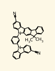 CC1(C)c2ccccc2-c2cc3c4cc(C#N)ccc4n(-c4cccc(-n5c6ccccc6c6cc(C#N)ccc65)c4)c3cc21